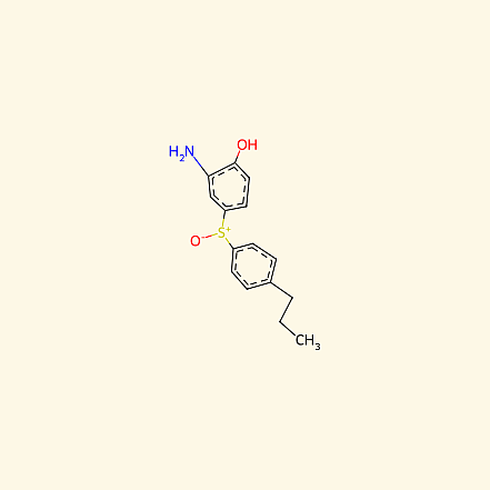 CCCc1ccc([S+]([O-])c2ccc(O)c(N)c2)cc1